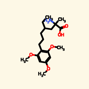 CCC(CCCc1c(OC)cc(OC)cc1OC)CC(C)(N)C(=O)O